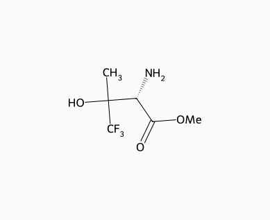 COC(=O)[C@@H](N)C(C)(O)C(F)(F)F